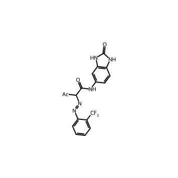 CC(=O)C(/N=N/c1ccccc1C(F)(F)F)C(=O)Nc1ccc2[nH]c(=O)[nH]c2c1